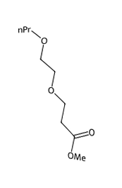 CCCOCCOCCC(=O)OC